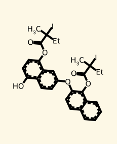 CCC(C)(I)C(=O)Oc1c(Oc2ccc3c(O)ccc(OC(=O)C(C)(I)CC)c3c2)ccc2ccccc12